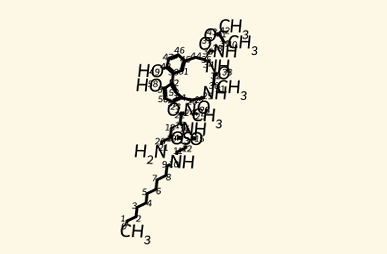 CCCCCCCCCCNCCS(=O)(=O)N[C@@H](CCCN)C(=O)N(C)[C@@H]1C(=O)N[C@@H](C)C(=O)N[C@H](C(=O)N[C@@H](C)C(C)=O)Cc2ccc(O)c(c2)-c2cc1ccc2O